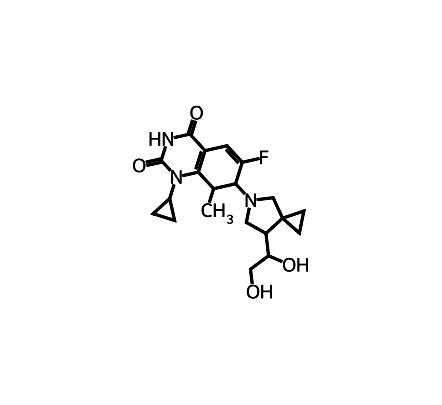 CC1c2c(c(=O)[nH]c(=O)n2C2CC2)C=C(F)C1N1CC(C(O)CO)C2(CC2)C1